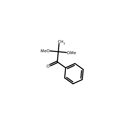 COC(C)(OC)C(=O)c1ccccc1